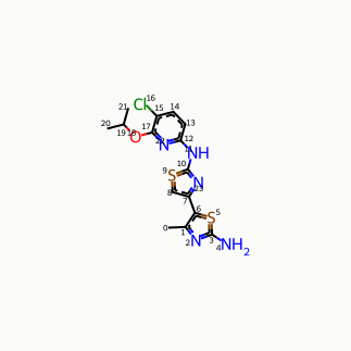 Cc1nc(N)sc1-c1csc(Nc2ccc(Cl)c(OC(C)C)n2)n1